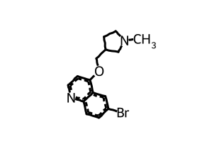 CN1CCC(COc2ccnc3ccc(Br)cc23)C1